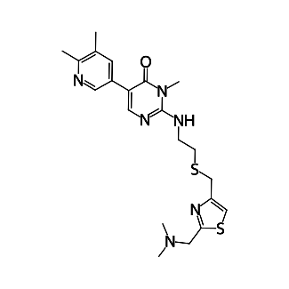 Cc1cc(-c2cnc(NCCSCc3csc(CN(C)C)n3)n(C)c2=O)cnc1C